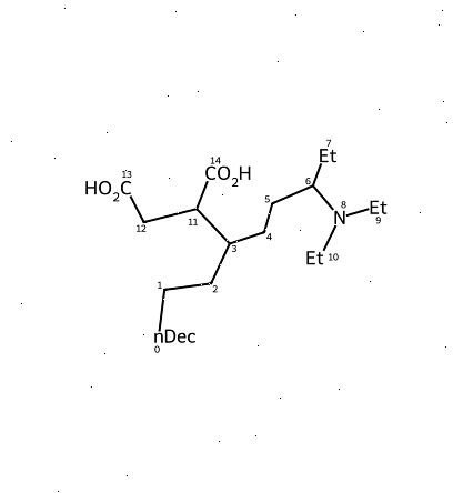 CCCCCCCCCCCCC(CCC(CC)N(CC)CC)C(CC(=O)O)C(=O)O